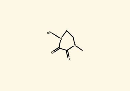 [CH2]CCN1CCN(C)C(=O)C1=O